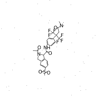 CC(=O)N1Cc2cc(S(C)(=O)=O)ccc2C1C(=O)Nc1ccc(C(CC(=O)N(C)C)(C(F)(F)F)C(F)(F)F)cc1